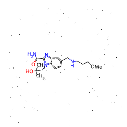 COCCCNCc1ccc2c(c1)nc(C(N)=O)n2CC(C)(C)O